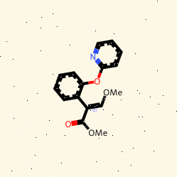 CO/C=C(/C(=O)OC)c1ccccc1Oc1ccccn1